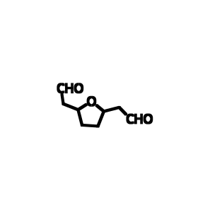 O=CCC1CCC(CC=O)O1